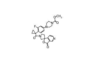 COC(=O)N1CCN(c2ccc(C3(C(=O)N4CCC5(C4)OC(=O)c4cnccc45)CC3)c(F)c2)CC1